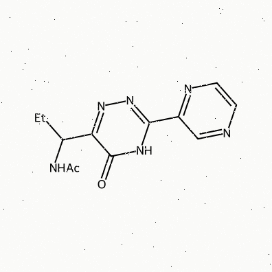 CCC(NC(C)=O)c1nnc(-c2cnccn2)[nH]c1=O